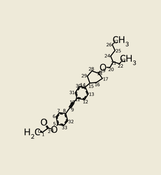 C=CC(=O)Oc1ccc(C#Cc2ccc(C3CCC(OCC(CC)CCCC)CC3)cc2)cc1